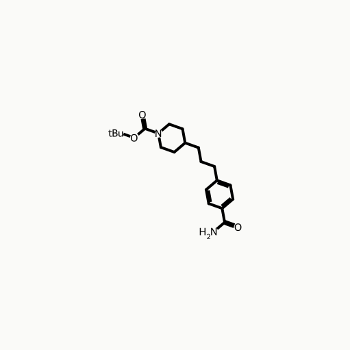 CC(C)(C)OC(=O)N1CCC(CCCc2ccc(C(N)=O)cc2)CC1